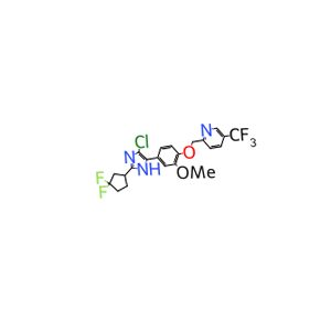 COc1cc(-c2[nH]c(C3CCC(F)(F)C3)nc2Cl)ccc1OCc1ccc(C(F)(F)F)cn1